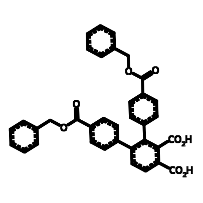 O=C(OCc1ccccc1)c1ccc(-c2ccc(C(=O)O)c(C(=O)O)c2-c2ccc(C(=O)OCc3ccccc3)cc2)cc1